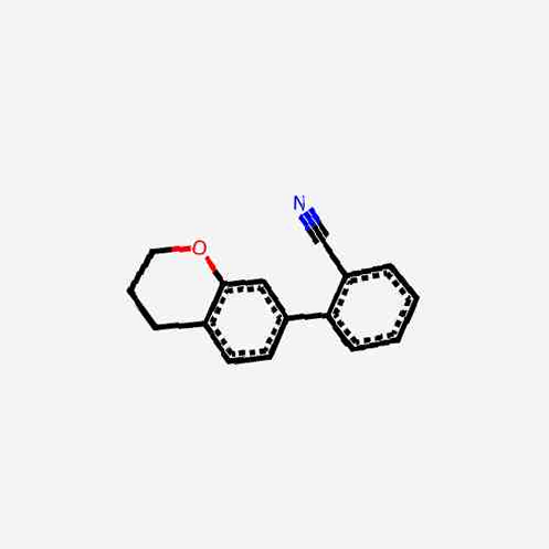 N#Cc1ccccc1-c1ccc2c(c1)OCCC2